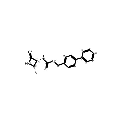 C[C@@H]1NC(=O)[C@@H]1NC(=O)OCc1ccc(-c2ccccc2)cc1